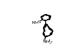 CSc1ccccc1-c1ccc(N)cc1